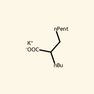 CCCCCCC(CCCC)C(=O)[O-].[K+]